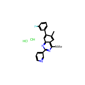 CNc1nc(-c2cccnc2)nc2cc(-c3cccc(F)c3)c(C)cc12.Cl.Cl